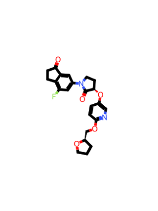 O=C1CCc2c(F)cc(N3CC[C@@H](Oc4ccc(OC[C@H]5CCCO5)nc4)C3=O)cc21